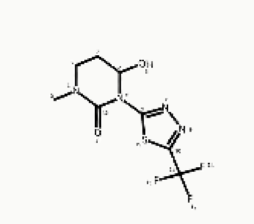 CN1CCC(O)N(c2nnc(C(F)(F)F)s2)C1=O